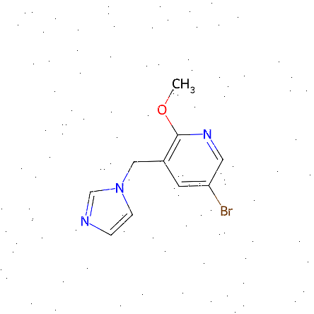 COc1ncc(Br)cc1Cn1ccnc1